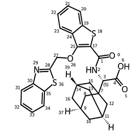 O=C(N[C@H](C(=O)O)C12C[C@H]3C[C@H](C1)C[C@@H](C2)C3)c1sc2ccccc2c1OCc1nc2ccccc2s1